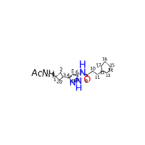 CC(=O)N[C@H]1C[C@@H](c2cc(NC(=O)CCC3CCCCC3)[nH]n2)C1